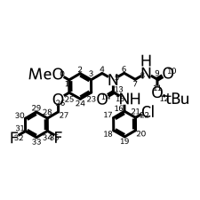 COc1cc(CN(CCNC(=O)OC(C)(C)C)C(=O)Nc2ccccc2Cl)ccc1OCc1ccc(F)cc1F